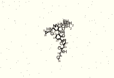 BC(B)(B)NC(=O)c1nnc(NC(=O)C2CC2)cc1Nc1cccc(-c2ncc(CC(=O)NCCOC)o2)c1OC